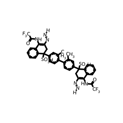 [H]/N=N/C1=C(NC(=O)C(F)(F)F)c2ccccc2C(c2ccc(-c3ccc(C4(S(=O)(=O)O)CC(/N=N/[H])=C(NC(=O)C(F)(F)F)c5ccccc54)cc3C)c(C)c2)(S(=O)(=O)O)C1